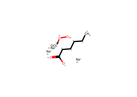 CCCCCC(=O)[O-].O=C([O-])O[O-].[Na+].[Na+].[Na+]